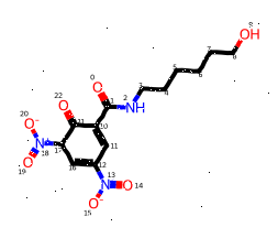 O=C(NCCCCCCO)C1=CC([N+](=O)[O-])=CC([N+](=O)[O-])C1=O